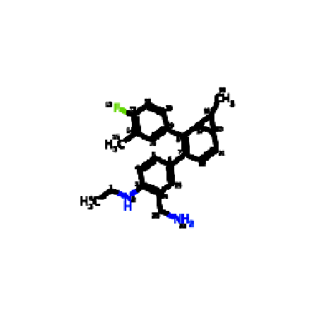 CCNc1ccc(C2=C(c3ccc(F)c(C)c3)C3C(C)C3C=C2)cc1CN